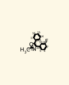 Cc1nc(-c2cccc(F)c2)c(-c2ccccc2)o1